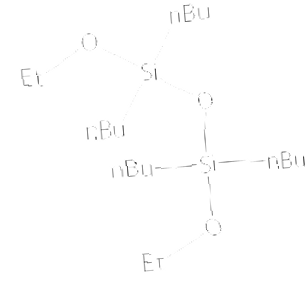 CCCC[Si](CCCC)(OCC)O[Si](CCCC)(CCCC)OCC